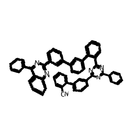 N#Cc1ccccc1-c1cccc(-c2nc(-c3ccccc3)nc(-c3ccccc3-c3cccc(-c4cccc(-c5nc(-c6ccccc6)c6ccccc6n5)c4)c3)n2)c1